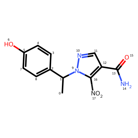 CC(c1ccc(O)cc1)n1ncc(C(N)=O)c1[N+](=O)[O-]